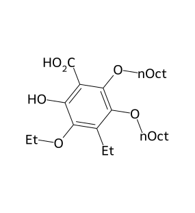 CCCCCCCCOc1c(CC)c(OCC)c(O)c(C(=O)O)c1OCCCCCCCC